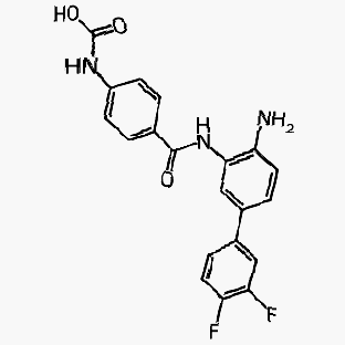 Nc1ccc(-c2ccc(F)c(F)c2)cc1NC(=O)c1ccc(NC(=O)O)cc1